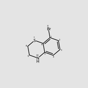 Brc1cccc2c1SCCN2